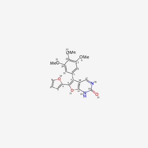 COc1cc(-c2c(-c3ccco3)oc3[nH]c(=O)ncc23)cc(OC)c1OC